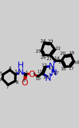 O=C(NC1CCCCC1)OCc1cn(C(c2ccccc2)c2ccccc2)nn1